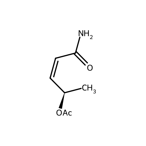 CC(=O)O[C@H](C)/C=C\C(N)=O